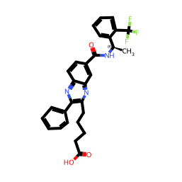 C[C@@H](NC(=O)c1ccc2nc(-c3ccccc3)c(CCCCC(=O)O)nc2c1)c1ccccc1C(F)(F)F